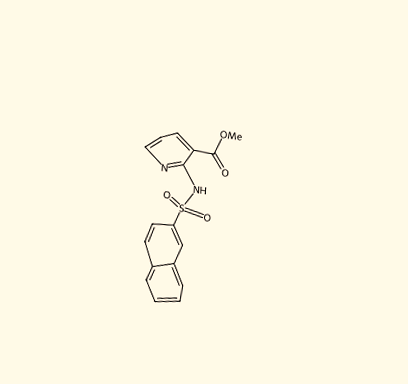 COC(=O)c1cccnc1NS(=O)(=O)c1ccc2ccccc2c1